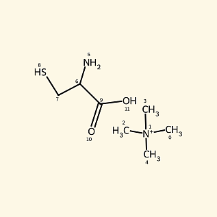 C[N+](C)(C)C.NC(CS)C(=O)O